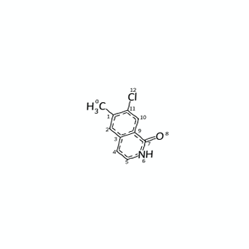 Cc1cc2cc[nH]c(=O)c2cc1Cl